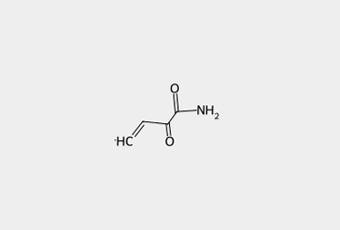 [CH]=CC(=O)C(N)=O